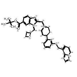 CC(C)(C)OC(=O)c1ccc2nc(CN3CCC(c4cccc(OCc5cccn6ncnc56)n4)CC3)n(C[C@@H]3CCO3)c2c1